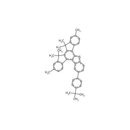 Cc1ccc2c(c1)C(C)(C)c1c3c(c4c(sc5ccc(-c6ccc(C(C)(C)C)cc6)cc54)c1-2)-c1ccc(C)cc1C3(C)C